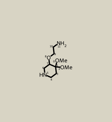 COC1(OC)CCNCC1OCCN